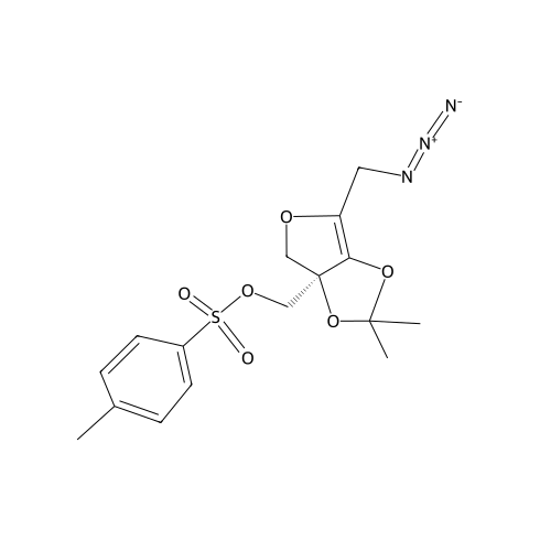 Cc1ccc(S(=O)(=O)OC[C@]23COC(CN=[N+]=[N-])=C2OC(C)(C)O3)cc1